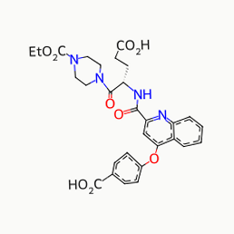 CCOC(=O)N1CCN(C(=O)[C@H](CCC(=O)O)NC(=O)c2cc(Oc3ccc(C(=O)O)cc3)c3ccccc3n2)CC1